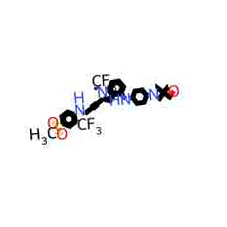 CS(=O)(=O)c1ccc(NCC#Cc2cc3c(NC4CCC(N5CC6(COC6)C5)CC4)cccc3n2CC(F)(F)F)c(C(F)(F)F)c1